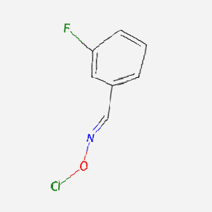 Fc1cccc(C=NOCl)c1